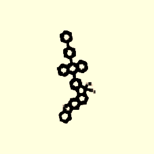 CC1(C)c2cc(-c3c4ccccc4c(-c4ccc(-c5ccccc5)cc4)c4ccccc34)ccc2-c2c1ccc1cc3c4c(sc3cc21)CCC=C4